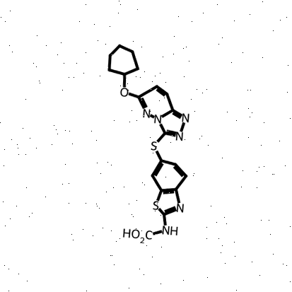 O=C(O)Nc1nc2ccc(Sc3nnc4ccc(OC5CCCCC5)nn34)cc2s1